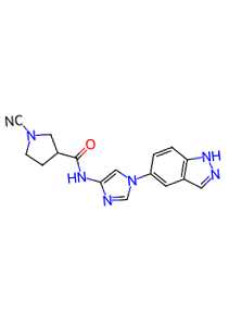 N#CN1CCC(C(=O)Nc2cn(-c3ccc4[nH]ncc4c3)cn2)C1